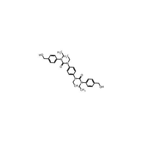 CCN(C(=O)N(CC)c1ccc(N(CC)C(=O)N(CC)c2ccc(CO)cc2)cc1)c1ccc(CO)cc1